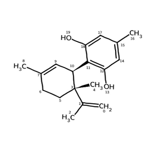 C=C(C)[C@]1(C)CCC(C)=C[C@H]1c1c(O)cc(C)cc1O